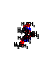 C=C(C)C(=O)OCCOC(=O)NCC1(C)CC(NC(=O)OCCOCCC[Si](C)(C)O[Si](C)(C)CCCOCCOC(=O)NC2CC(C)(C)CC(C)(CNC(=O)OCCOC(C)C(=O)C(=C)C)C2)CC(C)(C)C1